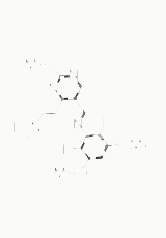 COc1cc(OC)c(F)c(N=Cc2cnc(SC)nc2CCN)c1F